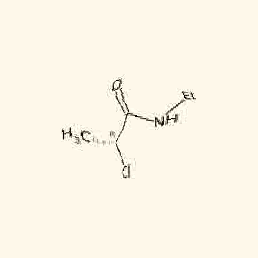 CCNC(=O)[C@@H](C)Cl